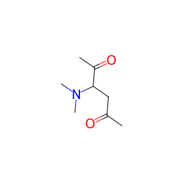 CC(=O)CC(C(C)=O)N(C)C